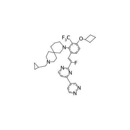 F/C(=C\c1ccc(OC2CCC2)c(C(F)(F)F)c1N1CCCC2(CCN(CC3CC3)CC2)C1)c1nccc(-c2ccnnc2)n1